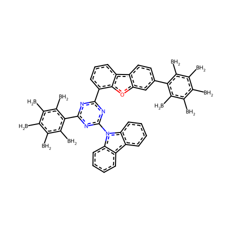 Bc1c(B)c(B)c(-c2ccc3c(c2)oc2c(-c4nc(-c5c(B)c(B)c(B)c(B)c5B)nc(-n5c6ccccc6c6ccccc65)n4)cccc23)c(B)c1B